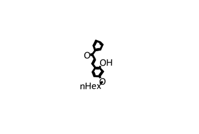 CCCCCCOc1ccc(/C=C/C(=O)c2ccccc2)c(O)c1